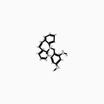 COc1ccc(CN2c3ccccc3C=Cc3cccnc32)c(OC)c1